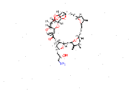 C=C1C[C@@H]2CC[C@@]34C[C@@H]5O[C@H]6[C@@H](O3)[C@H]3OC(CCC3O[C@H]6C5O4)CC(=O)C[C@@H]3[C@@H](C)[C@@H](C[C@H](O)CN)O[C@H]3CC3O[C@@H](CCC1O2)C[C@@H](C)C3=C